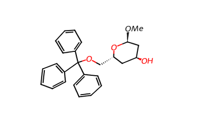 CO[C@H]1C[C@@H](O)C[C@H](COC(c2ccccc2)(c2ccccc2)c2ccccc2)O1